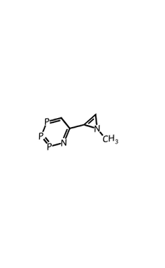 CN1C=C1c1cpppn1